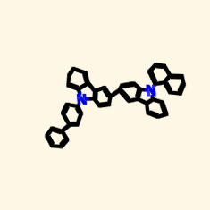 C1=CC2c3cc(-c4ccc5c(c4)c4c(n5-c5ccc(-c6ccccc6)cc5)=CCCC=4)ccc3N(c3cccc4ccccc34)C2C=C1